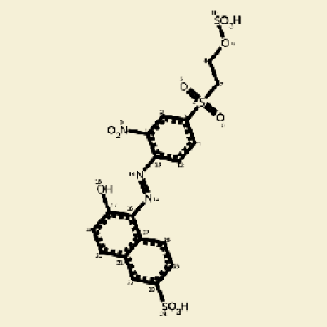 O=[N+]([O-])c1cc(S(=O)(=O)CCOS(=O)(=O)O)ccc1/N=N/c1c(O)ccc2cc(S(=O)(=O)O)ccc12